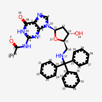 CC(C)C(=O)Nc1nc2c(ncn2[C@H]2C[C@H](O)[C@@H](CNC(c3ccccc3)(c3ccccc3)c3ccccc3)O2)c(=O)[nH]1